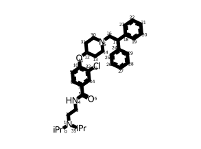 CC(C)N(CCNC(=O)c1ccc(OC2CCN(CC(c3ccccc3)c3ccccc3)CC2)c(Cl)c1)C(C)C